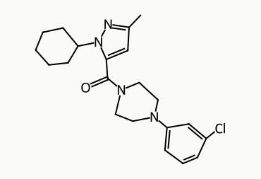 Cc1cc(C(=O)N2CCN(c3cccc(Cl)c3)CC2)n(C2CCCCC2)n1